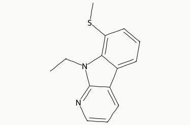 CCn1c2ncccc2c2cccc(SC)c21